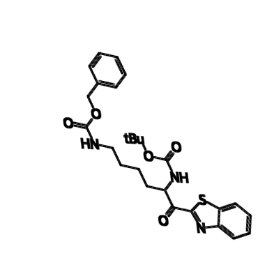 CC(C)(C)OC(=O)NC(CCCCNC(=O)OCc1ccccc1)C(=O)c1nc2ccccc2s1